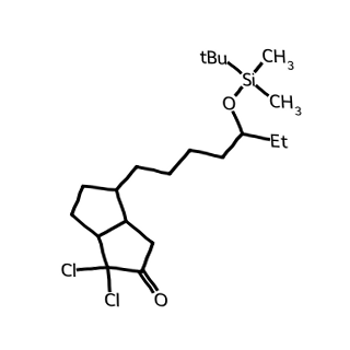 CCC(CCCCC1CCC2C1CC(=O)C2(Cl)Cl)O[Si](C)(C)C(C)(C)C